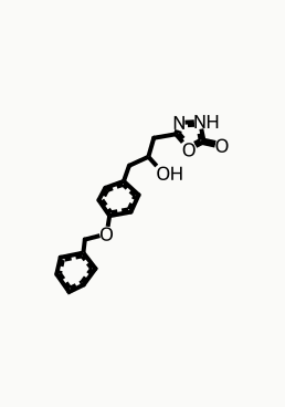 O=c1[nH]nc(CC(O)Cc2ccc(OCc3ccccc3)cc2)o1